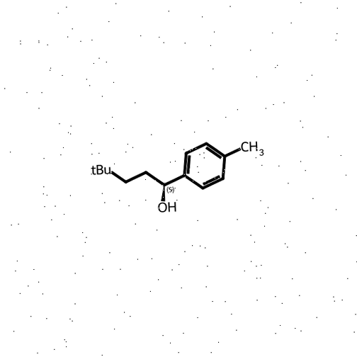 Cc1ccc([C@@H](O)CCC(C)(C)C)cc1